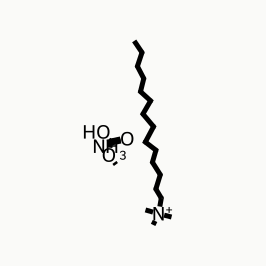 CCCCCCCCCCCCCC[N+](C)(C)C.COC(=O)O.N